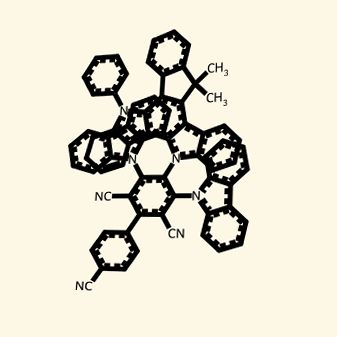 CC1(C)c2ccccc2-c2c1c1c3ccccc3n(-c3c(-n4c5ccccc5c5ccccc54)c(C#N)c(-c4ccc(C#N)cc4)c(C#N)c3-n3c4ccccc4c4ccccc43)c1c1c3c(n(-c4ccccc4)c21)CCC=C3